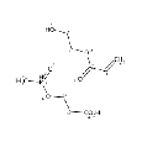 C=CC(=O)OCCO.C[PH](=O)OCCC(=O)O